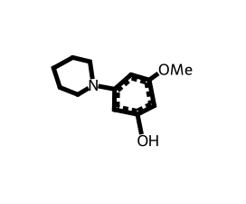 COc1cc(O)cc(N2CCCCC2)c1